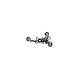 O=C(Nc1cn(C2CCCCO2)nc1-c1nc2cc(OCCCCN3CCCCC3)c(F)cc2[nH]1)N1CCCCC1